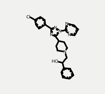 OC(CN1CCC(c2nc(-c3ccc(Cl)cc3)nn2-c2ncccn2)CC1)c1ccccc1